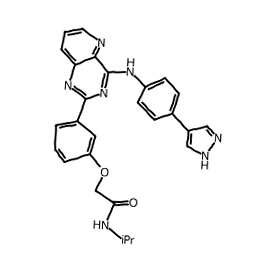 CC(C)NC(=O)COc1cccc(-c2nc(Nc3ccc(-c4cn[nH]c4)cc3)c3ncccc3n2)c1